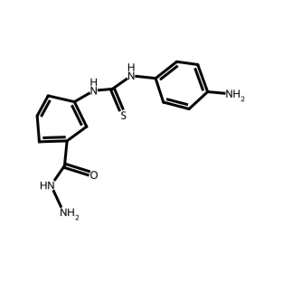 NNC(=O)c1cccc(NC(=S)Nc2ccc(N)cc2)c1